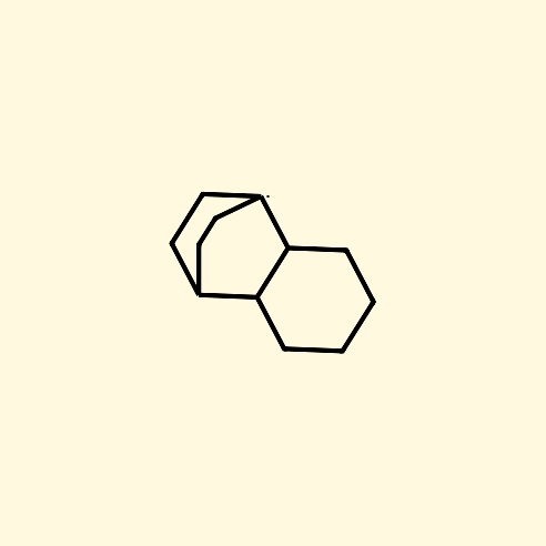 C1CCC2C3CC[C](CC3)C2C1